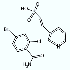 NC(=O)c1ccc(Br)cc1Cl.O=S(=O)(O)C=Cc1cccnc1